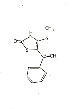 CSc1[nH]c(=O)sc1[C@@H](C)c1ccccc1